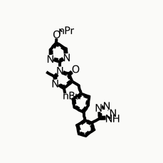 CCCCc1nc(C)n(-c2ncc(OCCC)cn2)c(=O)c1Cc1ccc(-c2ccccc2-c2nnn[nH]2)cc1